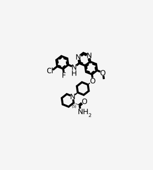 COc1cc2ncnc(Nc3cccc(Cl)c3F)c2cc1O[C@H]1CC[C@H](N2CCCC[C@H]2C(N)=O)CC1